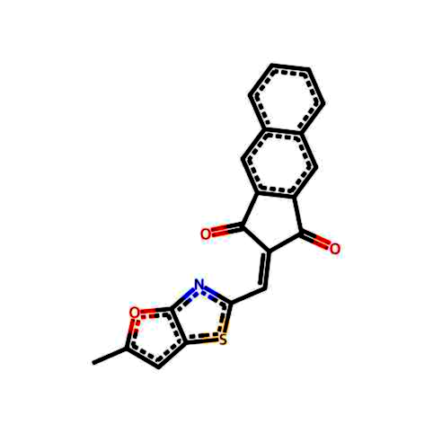 Cc1cc2sc(C=C3C(=O)c4cc5ccccc5cc4C3=O)nc2o1